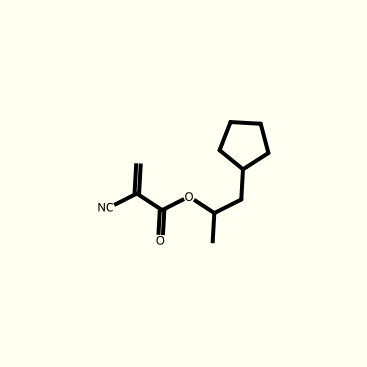 C=C(C#N)C(=O)OC(C)CC1CCCC1